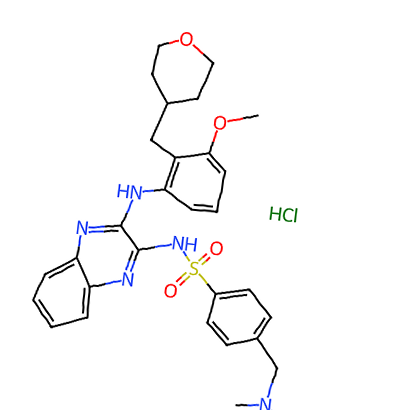 COc1cccc(Nc2nc3ccccc3nc2NS(=O)(=O)c2ccc(CN(C)C)cc2)c1CC1CCOCC1.Cl